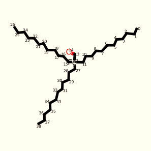 CCCCCCCCCCC[CH2][Fe]([CH]=O)([CH2]CCCCCCCCCCC)[CH2]CCCCCCCCCCC